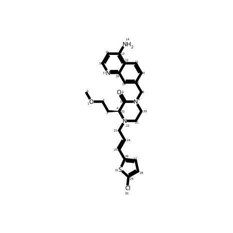 COCC[C@H]1C(=O)N(Cc2ccc3c(N)ccnc3c2)CCN1CC=Cc1ccc(Cl)s1